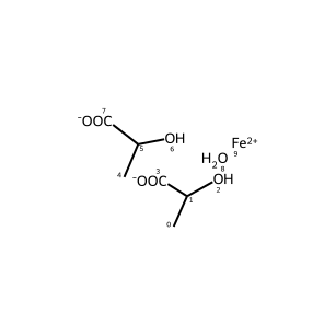 CC(O)C(=O)[O-].CC(O)C(=O)[O-].O.[Fe+2]